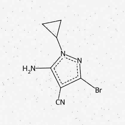 N#Cc1c(Br)nn(C2CC2)c1N